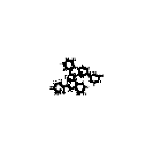 c1ccc(-c2cccc(-c3c(-c4ccccc4)nn4c(-c5ccccn5)cc5ccccc5c34)c2)cc1